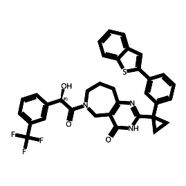 O=C([C@H](O)c1cccc(C(F)(F)F)c1)N1CCCc2nc(C3(c4cccc(-c5cc6ccccc6s5)c4)CC3)[nH]c(=O)c2C1